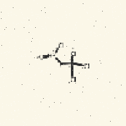 O=[PH](Cl)CC(Cl)(Cl)Cl